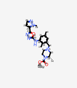 Cc1cc(CN2CCN(C(=O)OC(C)(C)C)[C@@H](C)C2)c(C)c(Nc2nnc(-c3ccnn3C)o2)c1